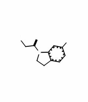 O=C(CCl)N1CCc2ccc(Cl)cc21